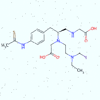 CCN(CI)CCN(CC(=O)O)[C@H](CNCC(=O)O)Cc1ccc(NC(C)=S)cc1